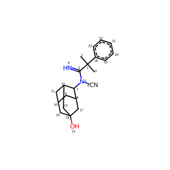 CC(C)(C(=N)N(C#N)C1C2CC3CC1CC(O)(C3)C2)c1ccccc1